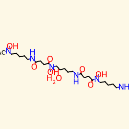 CC(=O)N(O)CCCCCNC(=O)CCC(=O)N(O)CCCCCNC(=O)CCC(=O)N(O)CCCCCN.O